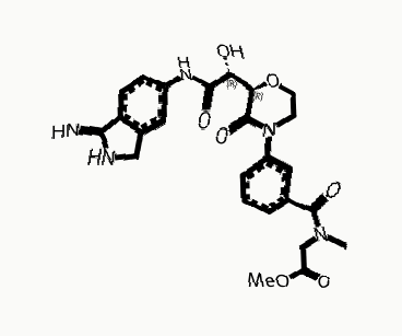 COC(=O)CN(C)C(=O)c1cccc(N2CCO[C@H]([C@@H](O)C(=O)Nc3ccc4c(c3)CNC4=N)C2=O)c1